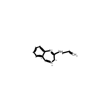 C=CCNC1=Nc2ccccc2C=NC1